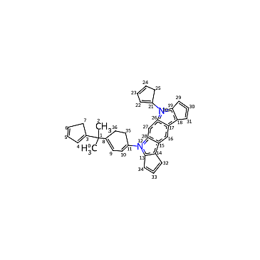 CC(C)(C1=CC=CC1)C1=CC=C(n2c3c(c4cc5c6c(n(C7=CC=CC7)c5cc42)C=C=C6)C=C=C3)CC1